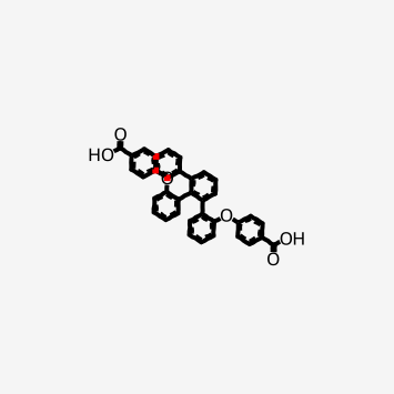 O=C(O)c1ccc(Oc2ccccc2-c2cccc(-c3ccccc3)c2-c2ccccc2Oc2ccc(C(=O)O)cc2)cc1